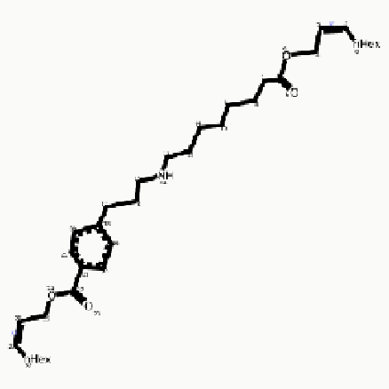 CCCCCC/C=C\COC(=O)CCCCCCCNCCCc1ccc(C(=O)OC/C=C\CCCCCC)cc1